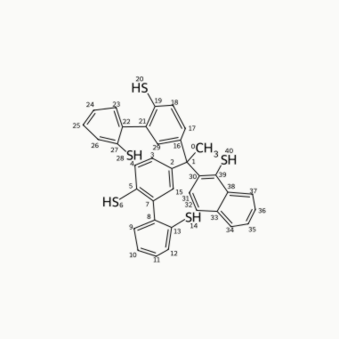 CC(c1ccc(S)c(-c2ccccc2S)c1)(c1ccc(S)c(-c2ccccc2S)c1)c1ccc2ccccc2c1S